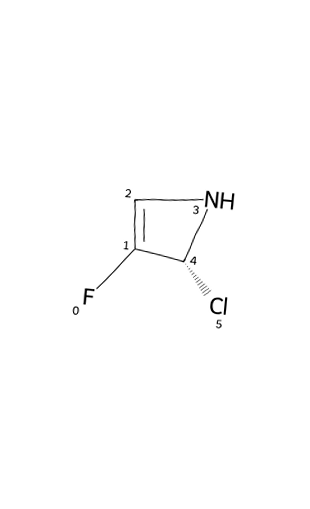 FC1=CN[C@@H]1Cl